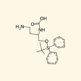 CC(C)(C)[Si](OCC(CCN)NC(=O)O)(c1ccccc1)c1ccccc1